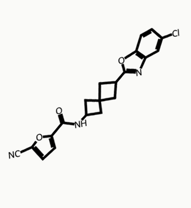 N#Cc1ccc(C(=O)NC2CC3(C2)CC(c2nc4cc(Cl)ccc4o2)C3)o1